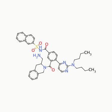 CCCCN(CCCC)c1nccc(-c2ccc(C(=O)NS(=O)(=O)c3ccc4ccccc4c3)cc2C(=O)N2Cc3ccccc3CC2CN)n1